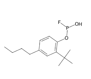 CCCCc1ccc(OP(O)F)c(C(C)(C)C)c1